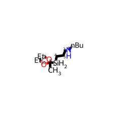 CCCCNCCC[SiH2]C(C)(OCC)OCC